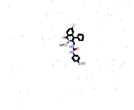 Cn1c(CNC(=O)Nc2ccc(C(=O)[O-])cc2)c(-c2ccccc2)c2cc(Cl)ccc2c1=O.[Na+]